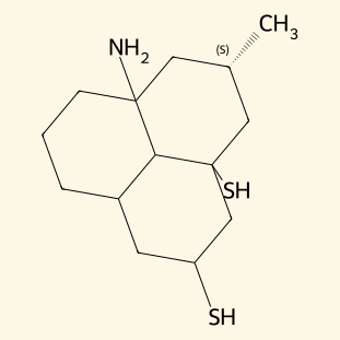 C[C@H]1CC2(N)CCCC3CC(S)CC(S)(C1)C32